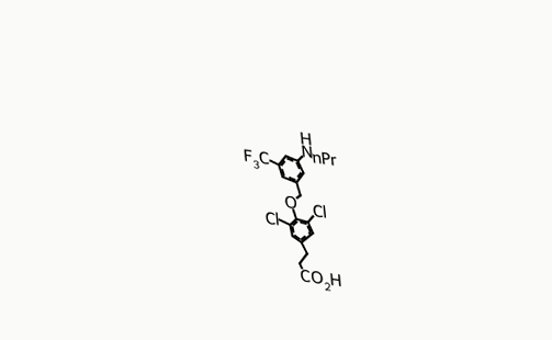 CCCNc1cc(COc2c(Cl)cc(CCC(=O)O)cc2Cl)cc(C(F)(F)F)c1